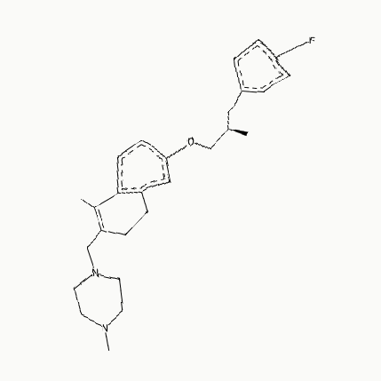 CC1=C(CN2CCN(C)CC2)CCc2cc(OC[C@H](C)Cc3ccc(F)cc3)ccc21